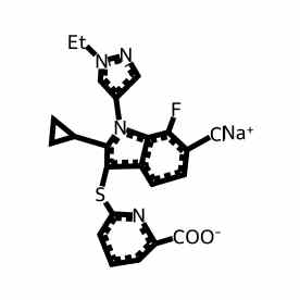 CCn1cc(-n2c(C3CC3)c(Sc3cccc(C(=O)[O-])n3)c3ccc(Cl)c(F)c32)cn1.[Na+]